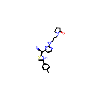 Cc1ccc(C2=CSC(=C(C#N)c3ccnc(NCCCN4CCCC4=O)n3)N2)cc1